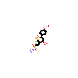 NS(=O)(=O)c1cc2c(s1)S(=O)(=O)C(c1ccc(O)cc1)CC2O